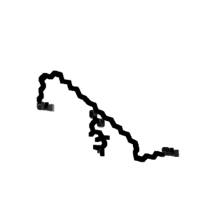 CC(=O)OCCCC/C=C\C/C=C\CCCCCCCCC(CCCCCCCC/C=C\C/C=C\CCCCOC(C)=O)OC(=O)CC(C)CC(C)(C)CN(C)C